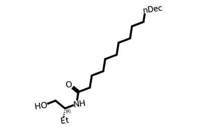 CCCCCCCCCCCCCCCCCCCC(=O)N[C@H](CC)CO